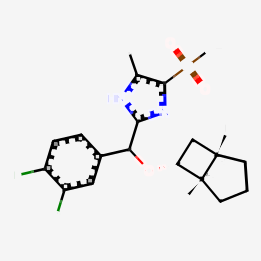 Cc1[nH]c(C(O[C@@H]2C[C@@H]3CCC[C@@H]32)c2ccc(F)c(Cl)c2)nc1S(C)(=O)=O